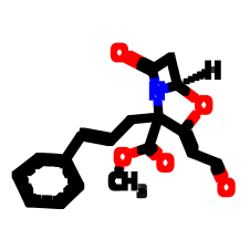 COC(=O)C1(C/C=C/c2ccccc2)C(=CC=O)O[C@@H]2CC(=O)N21